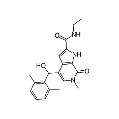 CCNC(=O)c1cc2c(C(O)c3c(C)cccc3C)cn(C)c(=O)c2[nH]1